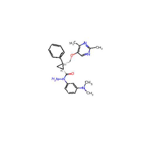 Cc1ncc(OC[C@@]2(c3ccccc3)C[C@H]2C(=O)N(N)c2cccc(N(C)C)c2)c(C)n1